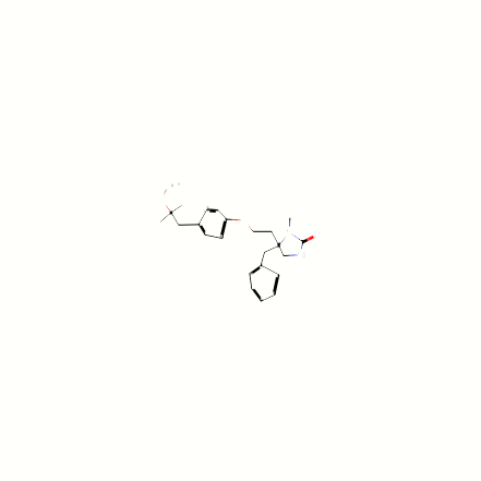 CCCCOC(C)(Cc1ccc(OCCC2(Cc3ccccc3)CNC(=O)N2C)cc1)C(=O)OCC